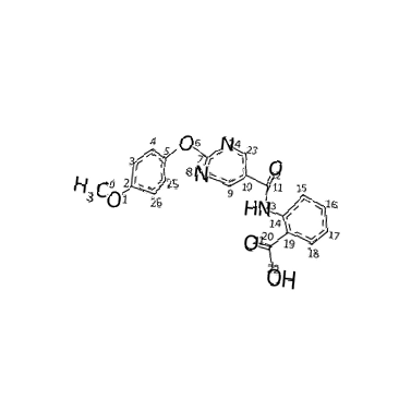 COc1ccc(Oc2ncc(C(=O)Nc3ccccc3C(=O)O)cn2)cc1